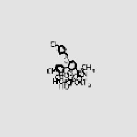 Cn1nc(C(F)(F)F)cc1C1=CC=C(OCc2ccc(Cl)cc2)C(c2ccc(Cl)c(C(F)(F)F)c2)C1OC(=O)C(O)(CO)C(O)CO